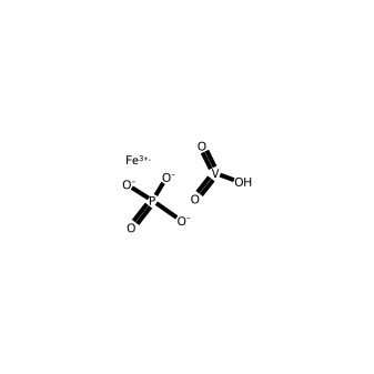 O=P([O-])([O-])[O-].[Fe+3].[O]=[V](=[O])[OH]